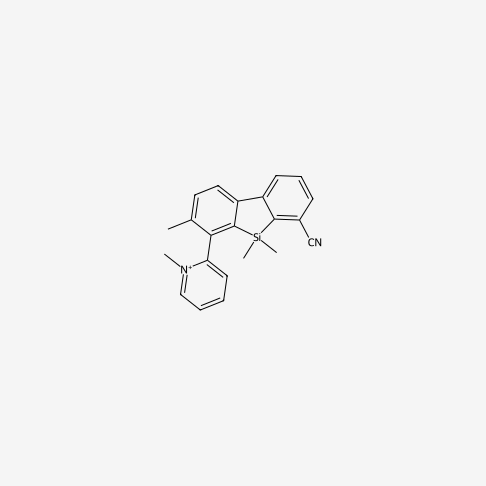 Cc1ccc2c(c1-c1cccc[n+]1C)[Si](C)(C)c1c(C#N)cccc1-2